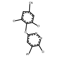 CC(C)c1cc(Oc2c(Cl)cc(C#N)cc2Cl)nnc1Cl